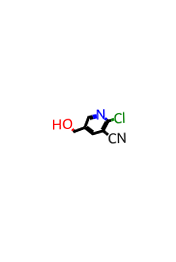 N#Cc1cc(CO)cnc1Cl